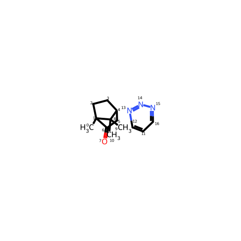 CC12CCC(CC1=O)C2(C)C.c1cnnnc1